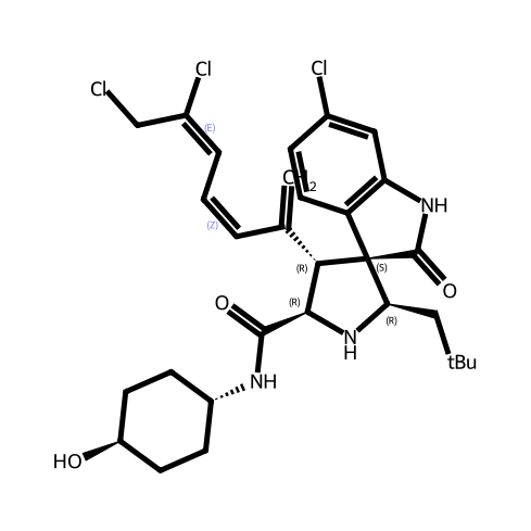 C=C(/C=C\C=C(\Cl)CCl)[C@H]1[C@H](C(=O)N[C@H]2CC[C@H](O)CC2)N[C@H](CC(C)(C)C)[C@]12C(=O)Nc1cc(Cl)ccc12